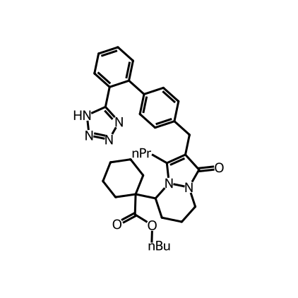 CCCCOC(=O)C1(C2CCCn3c(=O)c(Cc4ccc(-c5ccccc5-c5nnn[nH]5)cc4)c(CCC)n32)CCCCC1